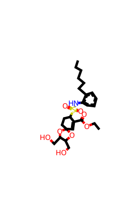 CCCCCCc1ccccc1NS(=O)(=O)C1CCC2(C=C1C(=O)OCC)OC(CO)C(CO)O2